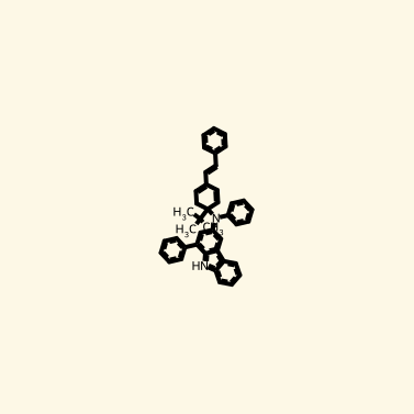 CC(C)(C)C1(N(c2ccccc2)c2cc(-c3ccccc3)c3[nH]c4ccccc4c3c2)C=CC(C=Cc2ccccc2)=CC1